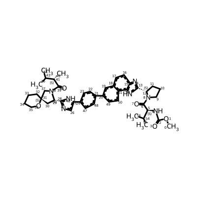 COC(=O)N[C@H](C(=O)N1CCC[C@H]1c1nc2ccc3cc(-c4ccc(-c5cnc([C@@H]6C[C@@]7(CCCCO7)CN6C(=O)[C@@H](C)C(C)C)[nH]5)cc4)ccc3c2[nH]1)C(C)C